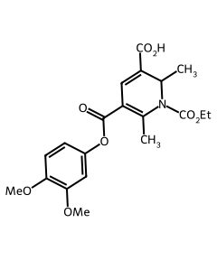 CCOC(=O)N1C(C)=C(C(=O)Oc2ccc(OC)c(OC)c2)C=C(C(=O)O)C1C